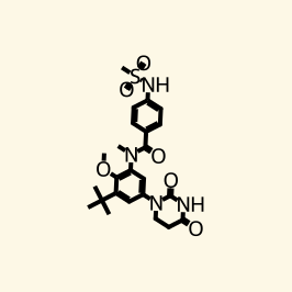 COc1c(N(C)C(=O)c2ccc(NS(C)(=O)=O)cc2)cc(N2CCC(=O)NC2=O)cc1C(C)(C)C